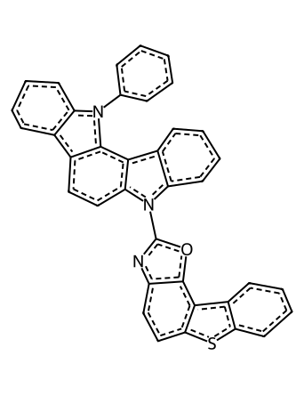 c1ccc(-n2c3ccccc3c3ccc4c(c5ccccc5n4-c4nc5ccc6sc7ccccc7c6c5o4)c32)cc1